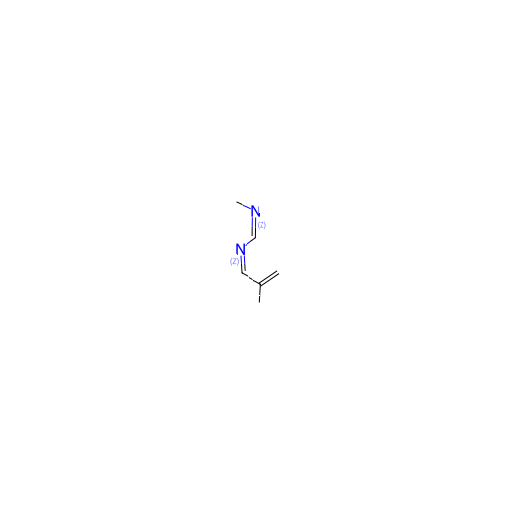 C=C(C)/C=N\C=N/C